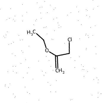 C=C(CCl)OCC